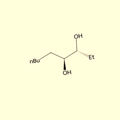 CCCCC[C@H](O)[C@H](O)CC